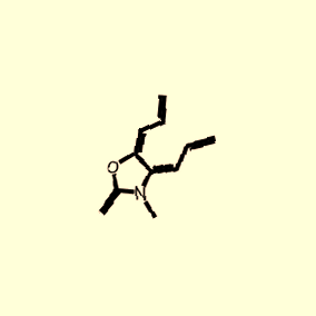 C=C/C=C1/OC(=C)N(C)/C1=C/C=C